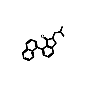 CC(C)CC1Cc2cccc(-c3cccc4ccccc34)c2C1=O